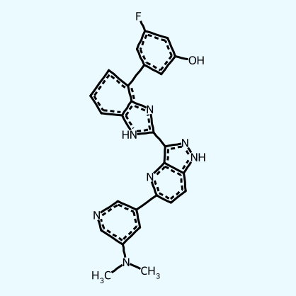 CN(C)c1cncc(-c2ccc3[nH]nc(-c4nc5c(-c6cc(O)cc(F)c6)cccc5[nH]4)c3n2)c1